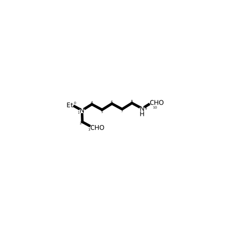 CCN(CC=O)CCCCCNC=O